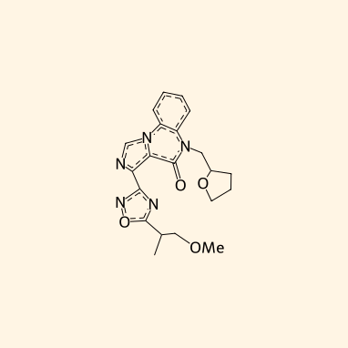 COCC(C)c1nc(-c2ncn3c2c(=O)n(CC2CCCO2)c2ccccc23)no1